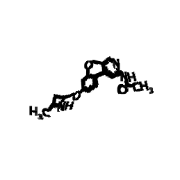 CC(=O)Nc1cc2c(cn1)COc1cc(OCC3CC(C)N3)ccc1-2